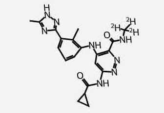 [2H]C([2H])([2H])NC(=O)c1nnc(NC(=O)C2CC2)cc1Nc1cccc(-c2n[nH]c(C)n2)c1C